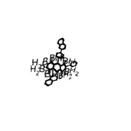 Bc1c(B)c(B)c2c(-c3ccc(-c4ccc5ccccc5c4)cc3)c3c(B)c(-c4ccccc4)c(B)c(B)c3c(-c3ccc4ccccc4c3)c2c1B